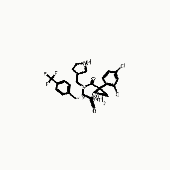 NC(=O)[C@H](Cc1ccc(C(F)(F)F)cc1)N(CC1CCNC1)C(=O)C1(c2ccc(Cl)cc2Cl)CC1